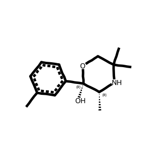 Cc1cccc([C@@]2(O)OCC(C)(C)N[C@@H]2C)c1